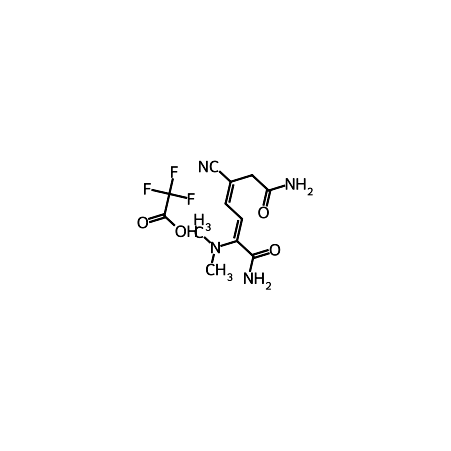 CN(C)C(=CC=C(C#N)CC(N)=O)C(N)=O.O=C(O)C(F)(F)F